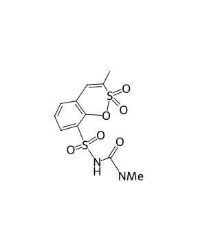 CNC(=O)NS(=O)(=O)c1cccc2c1OS(=O)(=O)C(C)=C2